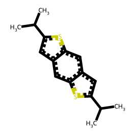 CC(C)c1cc2cc3sc(C(C)C)cc3cc2s1